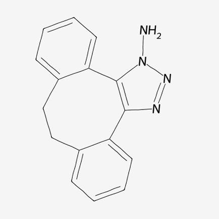 Nn1nnc2c1-c1ccccc1CCc1ccccc1-2